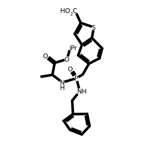 CC(C)OC(=O)C(C)NP(=O)(Cc1ccc2sc(C(=O)O)cc2c1)NCc1ccccc1